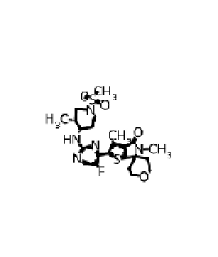 Cc1c(-c2nc(N[C@H]3CCN(S(C)(=O)=O)C[C@H]3C)ncc2F)sc2c1C(=O)N(C)C21CCOCC1